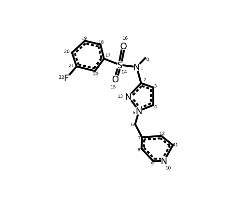 CN(c1ccn(Cc2ccncc2)n1)S(=O)(=O)c1cccc(F)c1